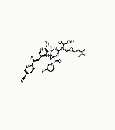 COc1ncc(/C=C(\F)c2ccc(C#N)cn2)cc1[C@@]1(C)N=C(N(COCC[Si](C)(C)C)C(=O)O)S[C@@]2(C(=O)N3CCC(F)C3)C[C@H]21